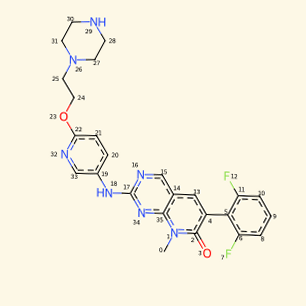 Cn1c(=O)c(-c2c(F)cccc2F)cc2cnc(Nc3ccc(OCCN4CCNCC4)nc3)nc21